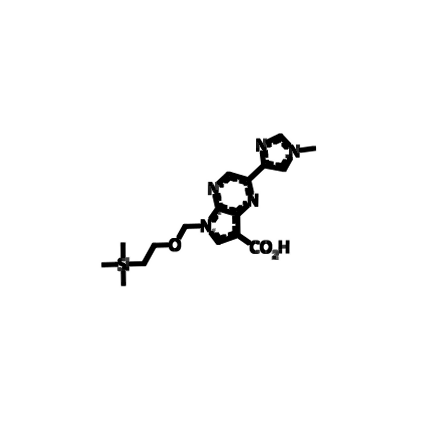 Cn1cnc(-c2cnc3c(n2)c(C(=O)O)cn3COCC[Si](C)(C)C)c1